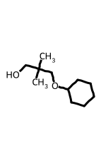 CC(C)(CO)COC1CCCCC1